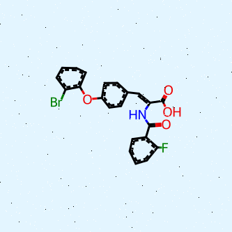 O=C(O)C(=Cc1ccc(Oc2ccccc2Br)cc1)NC(=O)c1ccccc1F